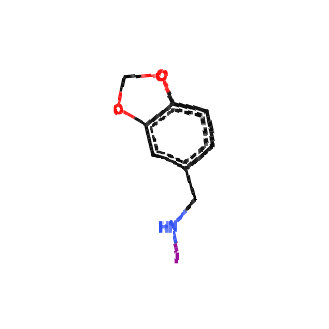 INCc1ccc2c(c1)OCO2